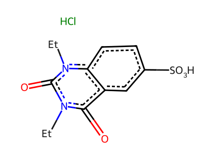 CCn1c(=O)c2cc(S(=O)(=O)O)ccc2n(CC)c1=O.Cl